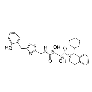 O=C(NCc1nc(Cc2ccccc2O)cs1)[C@H](O)[C@@H](O)C(=O)N1CCc2ccccc2C1C1CCCCC1